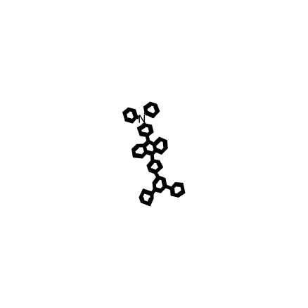 c1ccc(-c2cc(-c3ccccc3)cc(-c3ccc(-c4c5ccccc5c(-c5ccc(N(c6ccccc6)c6ccccc6)cc5)c5ccccc45)cc3)c2)cc1